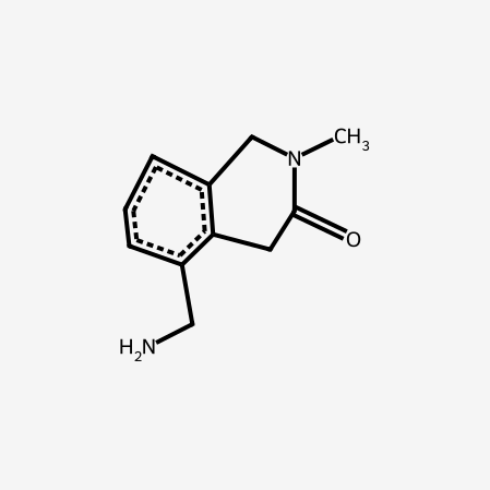 CN1Cc2cccc(CN)c2CC1=O